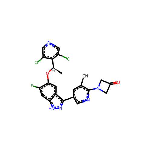 C[C@@H](Oc1cc2c(-c3cnc(N4CC(=O)C4)c(C#N)c3)n[nH]c2cc1F)c1c(Cl)cncc1Cl